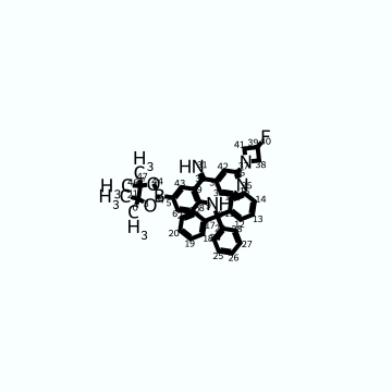 CC1(C)OB(c2ccc(NC(c3ccccc3)(c3ccccc3)c3ccccc3)c(C(=N)c3ccnc(N4CC(F)C4)c3)c2)OC1(C)C